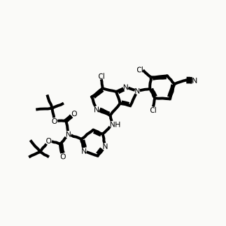 CC(C)(C)OC(=O)N(C(=O)OC(C)(C)C)c1cc(Nc2ncc(Cl)c3nn(-c4c(Cl)cc(C#N)cc4Cl)cc23)ncn1